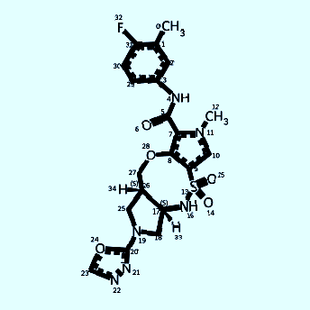 Cc1cc(NC(=O)c2c3c(cn2C)S(=O)(=O)N[C@@H]2CN(c4nnco4)C[C@@H]2CO3)ccc1F